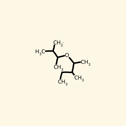 [CH2]C(C)C(C)OC(C)C(C)CC